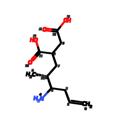 C=CCC(N)[C@H](C)CC(CC(=O)O)C(=O)O